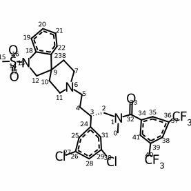 CN(C[C@@H](CCN1CCC2(CC1)CN(S(C)(=O)=O)c1ccccc12)c1cc(Cl)cc(Cl)c1)C(=O)c1cc(C(F)(F)F)cc(C(F)(F)F)c1